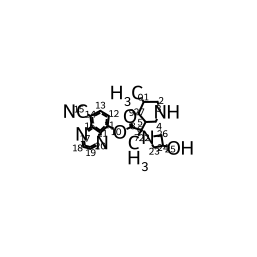 CC1CNCC(C(C)(C(=O)Oc2ccc(C#N)c3nccnc23)N2CC(O)C2)C1